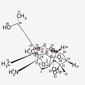 CC1CC[C@@]23COC[C@@H](N)[C@H](C)CCO[C@@H]([C@@H](C)O)CCCCCO[C@@H]4C[C@@H](O[C@@H]2C1)[C@@]1(CO1)[C@]43C